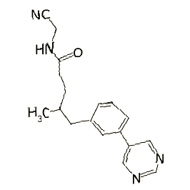 CC(CCC(=O)NCC#N)Cc1cccc(-c2cncnc2)c1